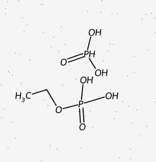 CCOP(=O)(O)O.O=[PH](O)O